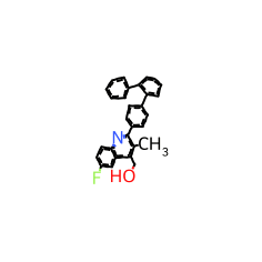 Cc1c(-c2ccc(-c3ccccc3-c3ccccc3)cc2)nc2ccc(F)cc2c1CO